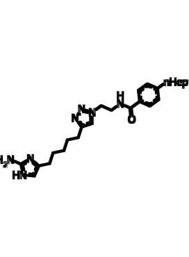 CCCCCCCc1ccc(C(=O)NCCn2cc(CCCCCc3c[nH]c(N)n3)nn2)cc1